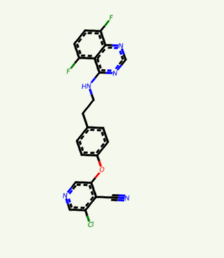 N#Cc1c(Cl)cncc1Oc1ccc(CCNc2ncnc3c(F)ccc(F)c23)cc1